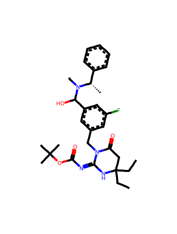 CCC1(CC)CC(=O)N(Cc2cc(F)cc(C(O)N(C)[C@@H](C)c3ccccc3)c2)/C(=N\C(=O)OC(C)(C)C)N1